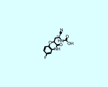 N#C[C@H](CC1Oc2ccc(F)cc2NC1=O)NC(=O)O